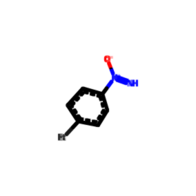 CCc1ccc([N+](=N)[O-])cc1